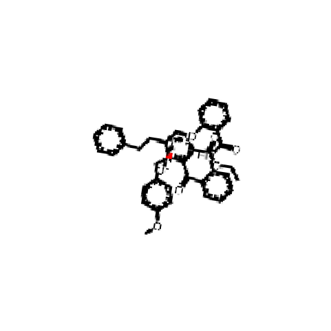 CCOC(=O)c1nnn(Cc2ccc(OC)cc2)c1C(=O)c1ccccc1NC(=O)c1ccccc1OCC(CCc1ccccc1)[N+](=O)[O-]